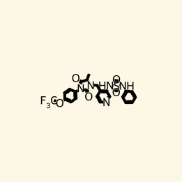 CC1C(=O)N(c2ccc(OC(F)(F)F)cc2)C(=O)N1Cc1ccncc1NS(=O)(=O)Nc1ccccc1